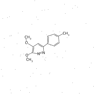 COc1cc(-c2ccc(C)cc2)nnc1OC